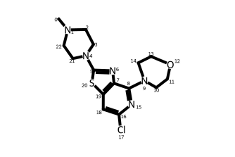 CN1CCN(c2nc3c(N4CCOCC4)nc(Cl)cc3s2)CC1